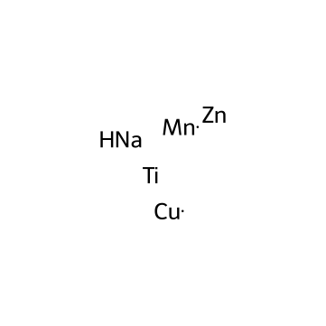 [Cu].[Mn].[NaH].[Ti].[Zn]